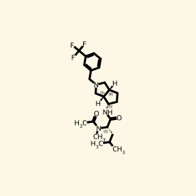 CC(=O)N(C)[C@@H](CC(C)C)C(=O)N[C@H]1CC[C@H]2CN(Cc3cccc(C(F)(F)F)c3)C[C@H]21